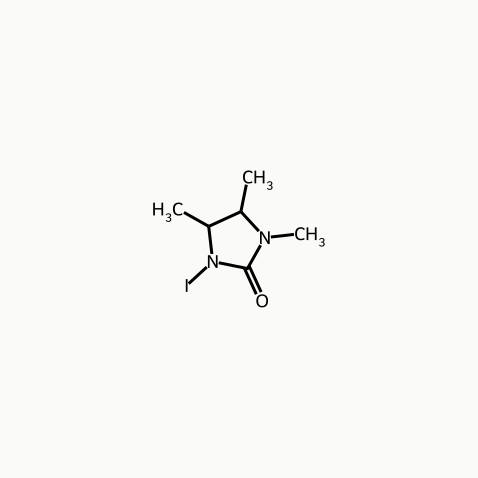 CC1C(C)N(I)C(=O)N1C